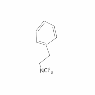 FC(F)(F)NCCc1ccccc1